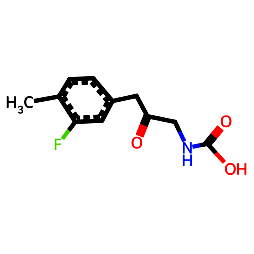 Cc1ccc(CC(=O)CNC(=O)O)cc1F